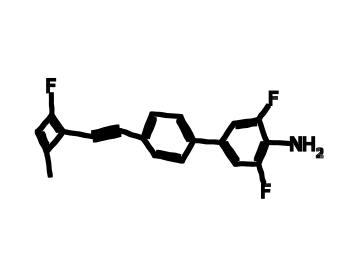 CC1=CC(F)=C1C#Cc1ccc(-c2cc(F)c(N)c(F)c2)cc1